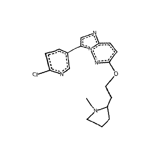 CN1CCCC1CCOc1ccc2ncc(-c3ccc(Cl)nc3)n2n1